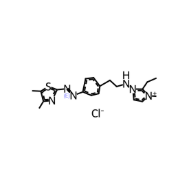 CCc1n(NCCc2ccc(/N=N/c3nc(C)c(C)s3)cc2)cc[n+]1C.[Cl-]